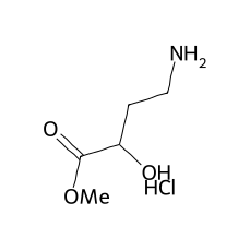 COC(=O)C(O)CCN.Cl